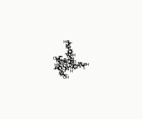 CCc1c(Cl)nc(C(=O)N[C@@H]2CCN(c3nnc([C@H](C)O)s3)C[C@@H]2OC)n1COP(=O)(OCn1c(C(=O)N[C@@H]2CCN(c3nnc([C@H](C)O)s3)C[C@@H]2OC)nc(Cl)c1CC)OCn1c(C(=O)N[C@@H]2CCN(c3nnc([C@H](C)O)s3)C[C@@H]2OC)nc(Cl)c1CC